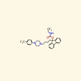 O=C(NCC(F)(F)F)OC1(CCCCN2CCN(c3ccc(C(F)(F)F)cc3)CC2)c2ccccc2-c2ccccc21